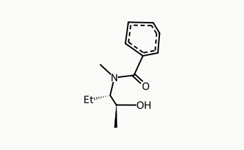 CC[C@@H]([C@H](C)O)N(C)C(=O)c1ccccc1